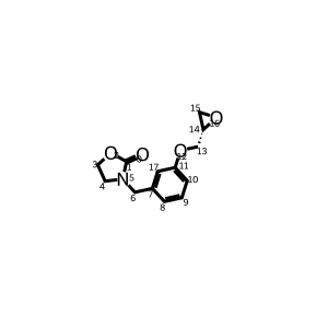 O=C1OCCN1Cc1cccc(OC[C@@H]2CO2)c1